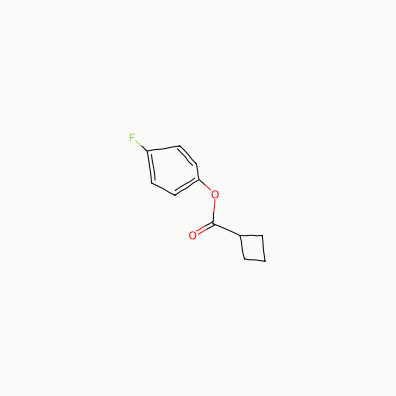 O=C(Oc1ccc(F)cc1)C1CCC1